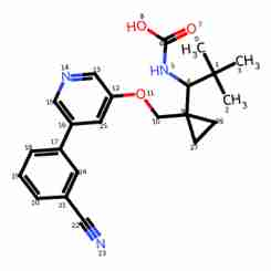 CC(C)(C)C(NC(=O)O)C1(COc2cncc(-c3cccc(C#N)c3)c2)CC1